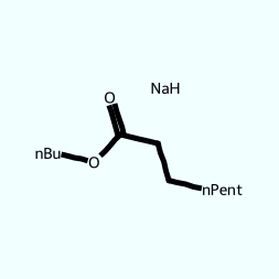 CCCCCCCC(=O)OCCCC.[NaH]